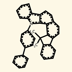 CC1(C)c2ccccc2-c2ccc3ccc4c5ccccc5n(-c5ccc(-c6ccccc6)cc5)c4c3c21